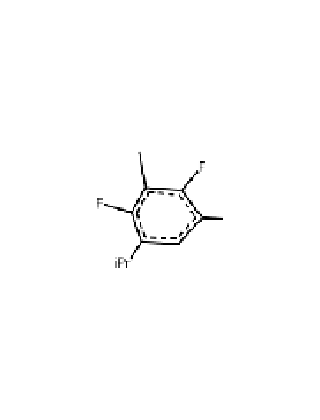 Cc1cc(C(C)C)c(F)c(C)c1F